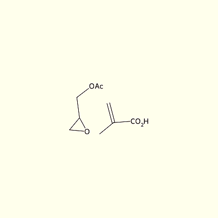 C=C(C)C(=O)O.CC(=O)OCC1CO1